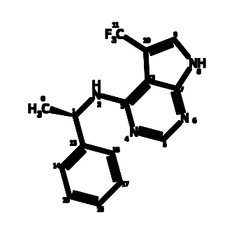 C[C@@H](Nc1ncnc2[nH]cc(C(F)(F)F)c12)c1ccccc1